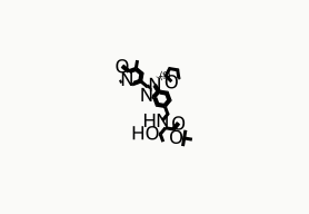 Cc1cc(-c2nc3cc(CNC(C(=O)OC(C)(C)C)C(C)O)ccc3n2C[C@@H]2CCCO2)cn(C)c1=O